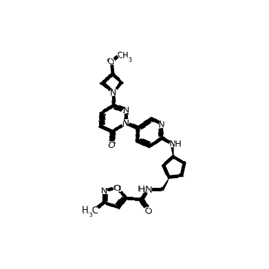 COC1CN(c2ccc(=O)n(-c3ccc(N[C@H]4CC[C@@H](CNC(=O)c5cc(C)no5)C4)nc3)n2)C1